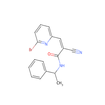 CC(NC(=O)C(C#N)=Cc1cccc(Br)n1)c1ccccc1